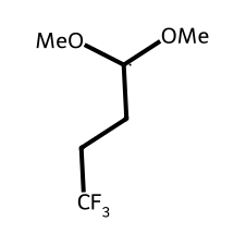 CO[C](CCC(F)(F)F)OC